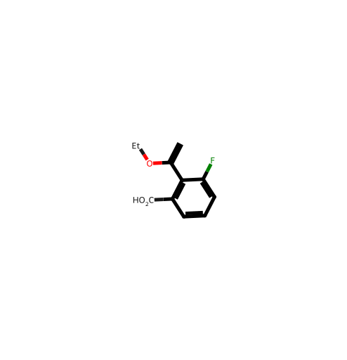 C=C(OCC)c1c(F)cccc1C(=O)O